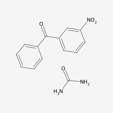 NC(N)=O.O=C(c1ccccc1)c1cccc([N+](=O)[O-])c1